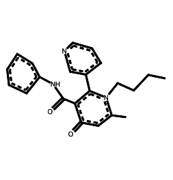 CCCCn1c(C)cc(=O)c(C(=O)Nc2ccccc2)c1-c1cccnc1